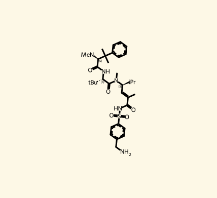 CN[C@H](C(=O)N[C@H](C(=O)N(C)[C@H](C=C(C)C(=O)NS(=O)(=O)c1ccc(CN)cc1)C(C)C)C(C)(C)C)C(C)(C)c1ccccc1